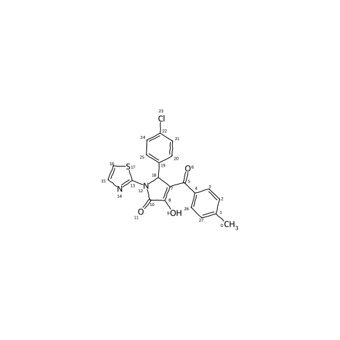 Cc1ccc(C(=O)C2=C(O)C(=O)N(c3nccs3)C2c2ccc(Cl)cc2)cc1